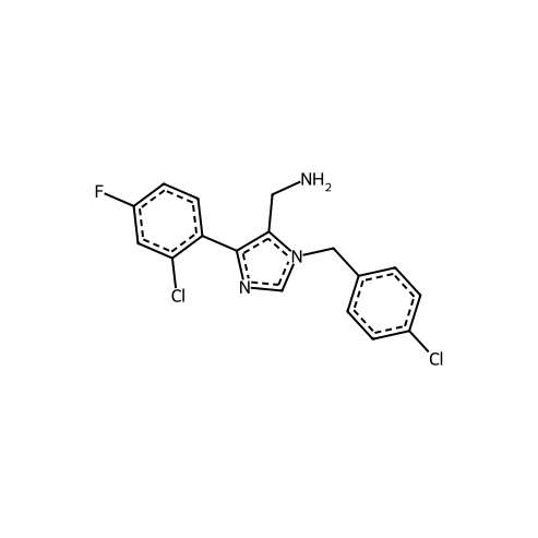 NCc1c(-c2ccc(F)cc2Cl)ncn1Cc1ccc(Cl)cc1